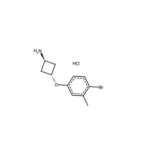 Cc1cc(O[C@H]2C[C@H](N)C2)ccc1Br.Cl